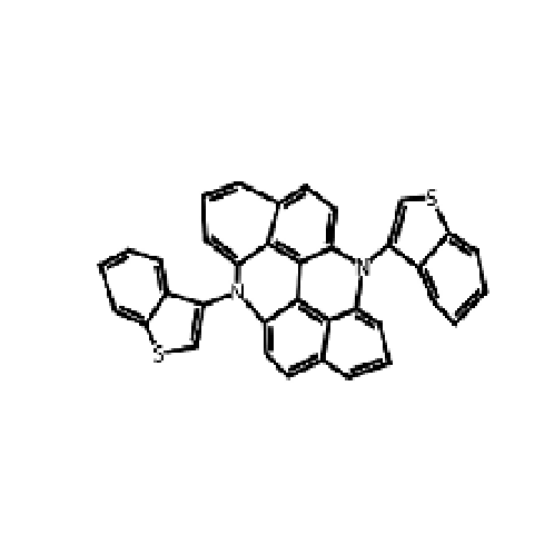 c1ccc2c(-n3c4ccc5cccc6c5c4-c4c5c(cccc53)ccc4n6-c3csc4ccccc34)csc2c1